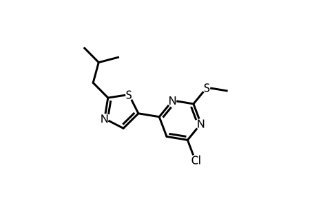 CSc1nc(Cl)cc(-c2cnc(CC(C)C)s2)n1